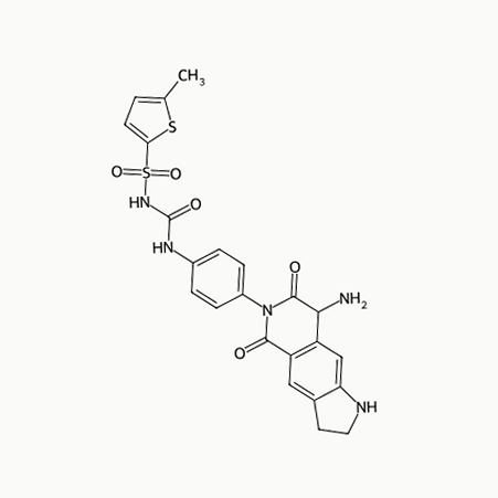 Cc1ccc(S(=O)(=O)NC(=O)Nc2ccc(N3C(=O)c4cc5c(cc4C(N)C3=O)NCC5)cc2)s1